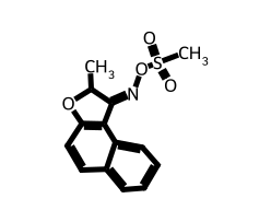 CC1Oc2ccc3ccccc3c2C1=NOS(C)(=O)=O